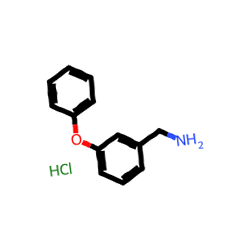 Cl.NCc1cccc(Oc2ccccc2)c1